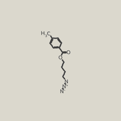 Cc1ccc(C(=O)OCCCCN=[N+]=[N-])cc1